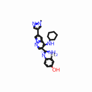 CCc1cc(O)ccc1/N=C(\N)c1cnn2cc(-c3cnn(C)c3)cc2c1NC1CCCCC1